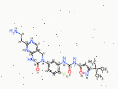 CC(C)(C)c1cc(NC(=O)Nc2cc(N3Cc4cnc(CCN)nc4NC3=O)ccc2F)on1